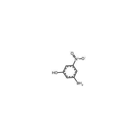 Bc1cc(O)cc([N+](=O)[O-])c1